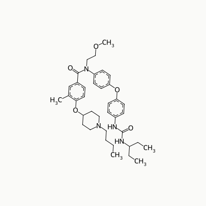 CCCCN1CCC(Oc2ccc(C(=O)N(CCOC)c3ccc(Oc4ccc(NC(=O)NC(CC)CC)cc4)cc3)cc2C)CC1